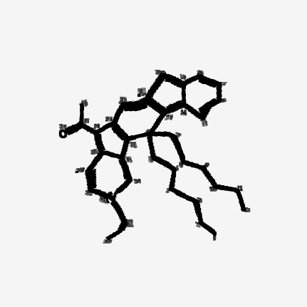 CCCCCCC1(CCCCCC)C2=c3ccccc3=CC2=Cc2c(C(C)=O)c3ccn(CC)cc-3c21